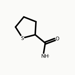 [NH]C(=O)C1CCCS1